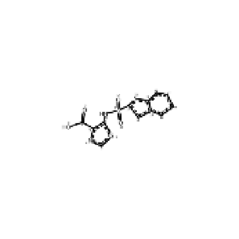 O=C(O)c1ncsc1NS(=O)(=O)c1cc2ccccc2s1